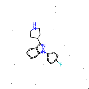 Fc1ccc(-n2nc(C3CCNCC3)c3ccccc32)cc1